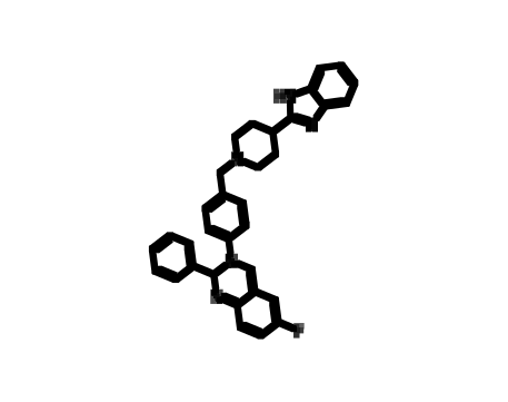 Fc1ccc2c(c1)=CN(c1ccc(CN3CCC(c4nc5ccccc5[nH]4)CC3)cc1)C(c1ccccc1)N=2